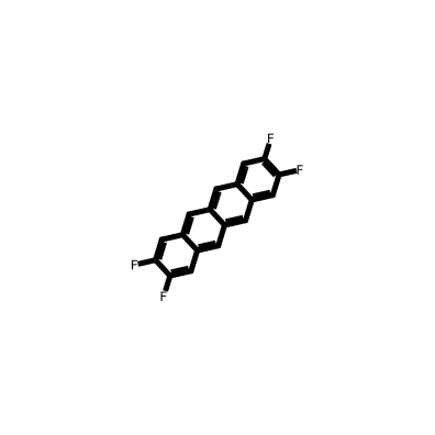 Fc1cc2cc3cc4cc(F)c(F)cc4cc3cc2cc1F